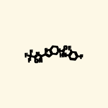 O=C(Nc1ccc(F)cc1F)N1CCc2sc(-c3noc(C(F)(F)F)n3)cc2C1